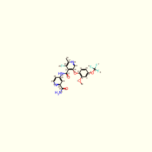 COc1cc(OC(F)(F)F)ccc1Oc1cnc(C)c(F)c1C(=O)Nc1ccnc(C(N)=O)c1